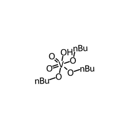 CCCC[O][V](=[O])(=[O])([OH])([O]CCCC)[O]CCCC